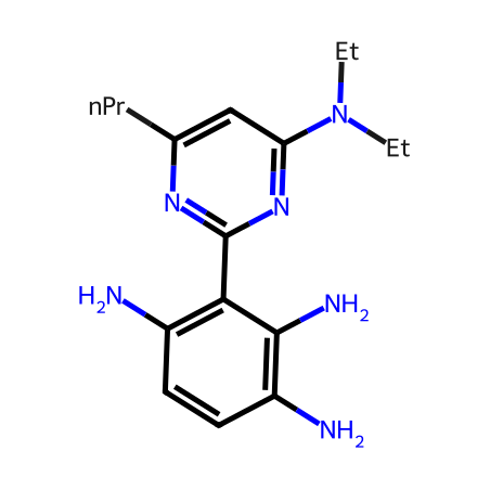 CCCc1cc(N(CC)CC)nc(-c2c(N)ccc(N)c2N)n1